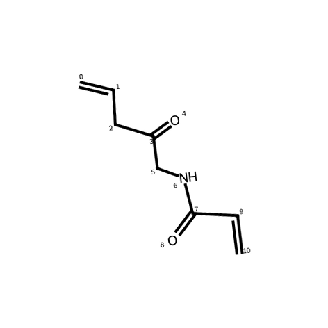 C=CCC(=O)CNC(=O)C=C